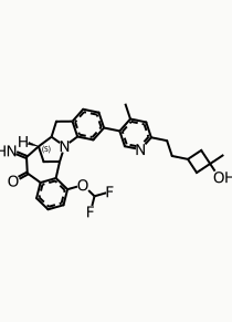 Cc1cc(CCC2CC(C)(O)C2)ncc1-c1ccc2c(c1)N1C3C[C@H](C(=N)C(=O)c4cccc(OC(F)F)c43)C1C2